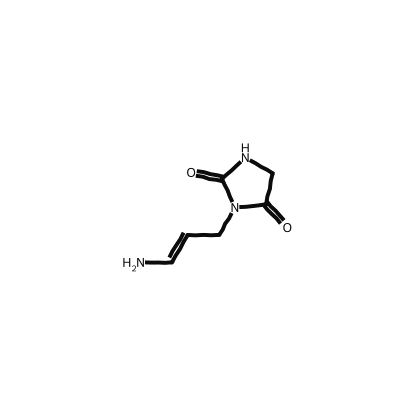 NC=CCN1C(=O)CNC1=O